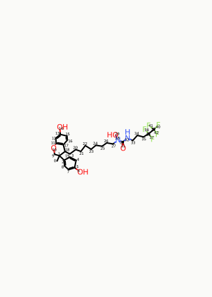 CC1(c2ccc(O)cc2)COc2cc(O)ccc2C1CCCCCCCCCN(O)C(=O)NCCCC(F)(F)C(F)(F)F